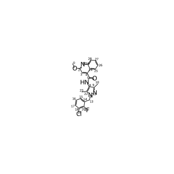 COc1cc(C(=O)Nc2c(C)nn(Cc3cccc(Cl)c3F)c2C)c2ccccc2n1